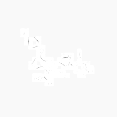 C[C@H]1C(c2cnn([C@@H]3CCNC[C@@H]3F)c2)Cc2c(Oc3ccc(F)cc3)cccc2N1C(=O)O